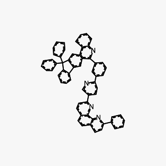 c1ccc(-c2ccc3ccc4ccc(-c5ccc(-c6cccc(-c7nc8ccccc8c8cc9c(cc78)-c7ccccc7C9(c7ccccc7)c7ccccc7)c6)nc5)nc4c3n2)cc1